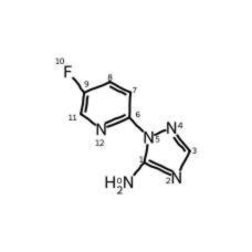 Nc1ncnn1-c1ccc(F)cn1